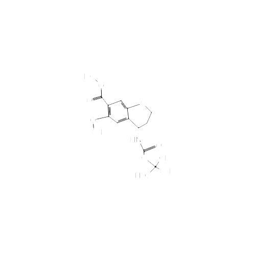 COC(=O)c1cc2c(cc1OC)[C@@H](NC(=O)OC(C)(C)C)CCS2